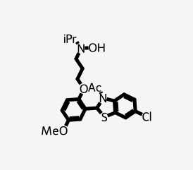 COc1ccc(OCCCN(O)C(C)C)c(C2Sc3cc(Cl)ccc3N2C(C)=O)c1